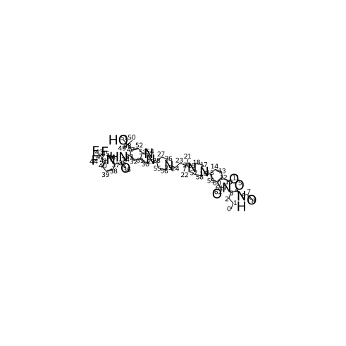 CCCC(C(=O)NC=O)N1C(=O)c2ccc(N3CCN(C(C)(C)CCN4CCC(n5cc6cc(NC(=O)c7cccc(C(F)(F)F)n7)c(C(C)(C)O)cc6n5)CC4)CC3)cc2C1=O